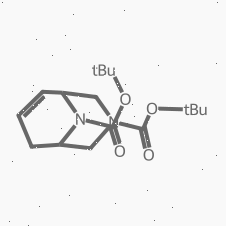 CC(C)(C)OC(=O)N1CC2C=CCC(C1)N2C(=O)OC(C)(C)C